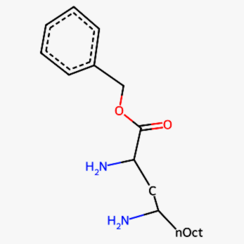 CCCCCCCCC(N)CC(N)C(=O)OCc1ccccc1